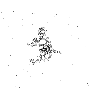 CCc1ccc2c(c1)CCC(CC)N2S(=O)(=O)c1ccc(OCc2ccncn2)c(C(=O)OC)c1